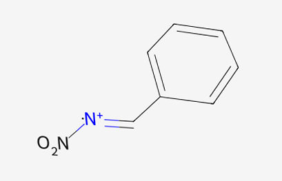 O=[N+]([O-])[N+]=Cc1ccccc1